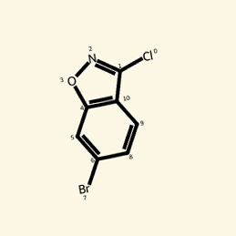 Clc1noc2cc(Br)ccc12